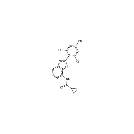 N#Cc1cc(Cl)c(-c2nc3ccnc(NC(=O)C4CC4)c3s2)c(Cl)c1